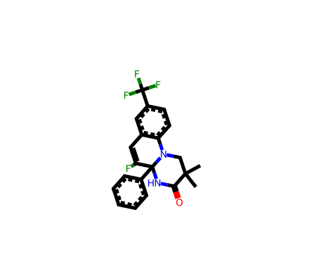 CC1(C)CN2c3ccc(C(F)(F)F)cc3C=C(F)C2(c2ccccc2)NC1=O